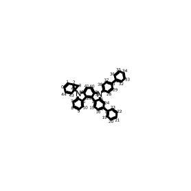 C1=CC2CC2(n2c3ccccc3c3c4c5ccc(-c6ccccc6)cc5n(-c5ccc(-c6ccccc6)cc5)c4ccc32)C=C1